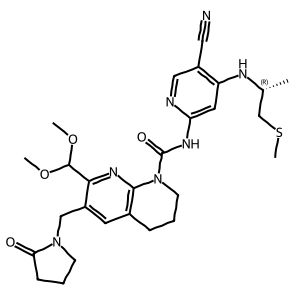 COC(OC)c1nc2c(cc1CN1CCCC1=O)CCCN2C(=O)Nc1cc(N[C@H](C)CSC)c(C#N)cn1